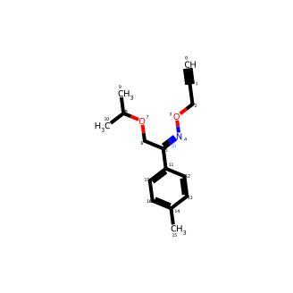 C#CCO/N=C(\COC(C)C)c1ccc(C)cc1